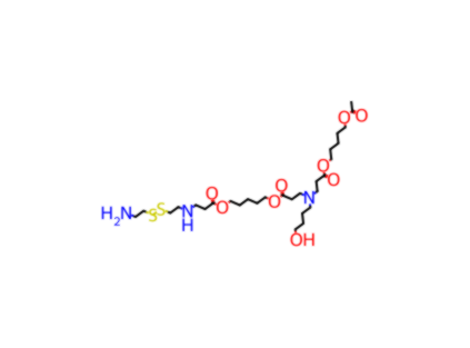 CC(=O)OCCCCCOC(=O)CCN(CCCCO)CCC(=O)OCCCCCOC(=O)CCNCCSSCCN